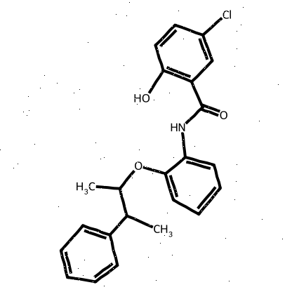 CC(Oc1ccccc1NC(=O)c1cc(Cl)ccc1O)C(C)c1ccccc1